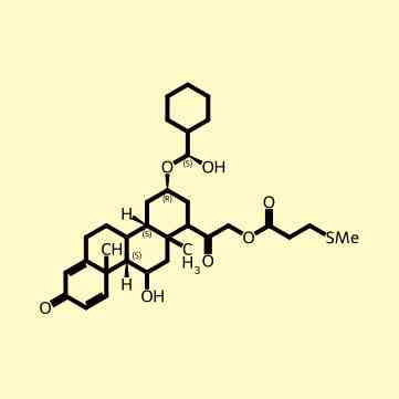 CSCCC(=O)OCC(=O)C1C[C@H](O[C@H](O)C2CCCCC2)C[C@H]2C3CCC4=CC(=O)C=CC4(C)[C@H]3C(O)CC12C